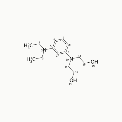 CCN(CC)c1cccc(N(CCO)CCO)c1